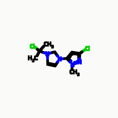 Cn1nc(Cl)cc1N1C=CN(C(C)(C)Cl)C1